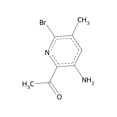 CC(=O)c1nc(Br)c(C)cc1N